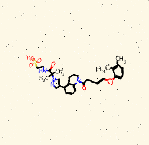 Cc1cccc(OCCCC(=O)N2CCCc3c(-c4cnn(C(C)(C)C(=O)NCCS(=O)(=O)O)c4)cccc32)c1C